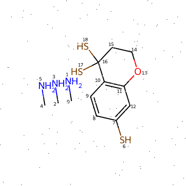 CN.CN.CN.Sc1[c]cc2c(c1)OCCC2(S)S